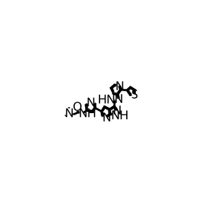 CN(C)CC(=O)Nc1cncc(-c2cnc3[nH]nc(-c4nc5c(-c6ccsc6)nccc5[nH]4)c3c2)c1